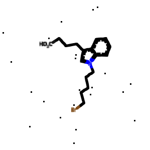 O=C(O)CCCc1cn(CCCCCBr)c2ccccc12